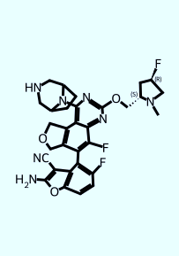 CN1C[C@H](F)C[C@H]1COc1nc(N2C3CCC2CNC3)c2c3c(c(-c4c(F)ccc5oc(N)c(C#N)c45)c(F)c2n1)COC3